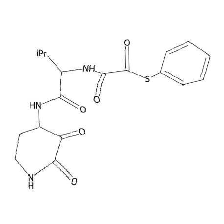 CC(C)C(NC(=O)C(=O)Sc1ccccc1)C(=O)NC1CCNC(=O)C1=O